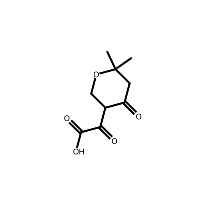 CC1(C)CC(=O)C(C(=O)C(=O)O)CO1